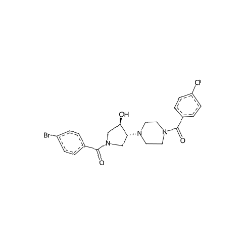 O=C(c1ccc(Cl)cc1)N1CCN([C@@H]2CN(C(=O)c3ccc(Br)cc3)C[C@H]2O)CC1